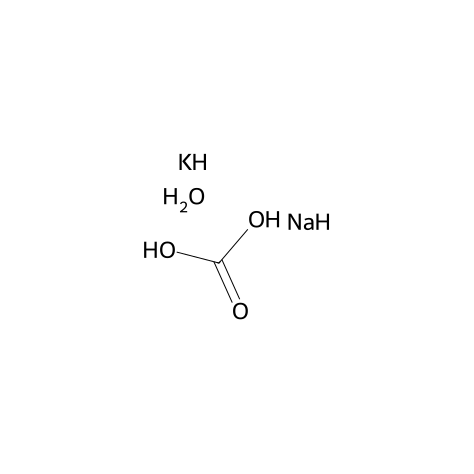 O.O=C(O)O.[KH].[NaH]